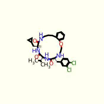 CC(C)[C@H]1NC(=O)[C@@H](Cc2ccc(Cl)c(Cl)c2)NCCOc2ccccc2CCCNC(=O)[C@H](CC2CC2)NC1=O